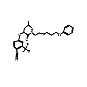 CC(C)CC(Oc1ccc(C#N)c(C(F)(F)F)c1)C(=O)NCCCCCCOc1ccccc1